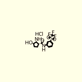 Cl.N[C@H]1[C@@H](O)CC[C@H]1C(=O)Nc1cccc(S(=O)(=O)C(F)(F)F)c1